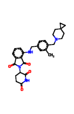 Cc1cc(CNc2cccc3c2C(=O)N(C2CCC(=O)NC2=O)C3=O)ccc1CN1CCC2(CC1)CC2